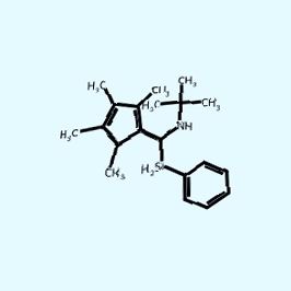 CC1=C(C)C(C)C(C(NC(C)(C)C)[SiH2]c2ccccc2)=C1C